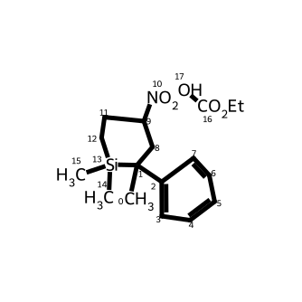 CC1(c2ccccc2)CC([N+](=O)[O-])CC[Si]1(C)C.CCOC(=O)O